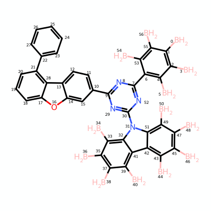 Bc1c(B)c(B)c(-c2nc(-c3ccc4c(c3)oc3cccc(-c5ccccc5)c34)nc(-n3c4c(B)c(B)c(B)c(B)c4c4c(B)c(B)c(B)c(B)c43)n2)c(B)c1B